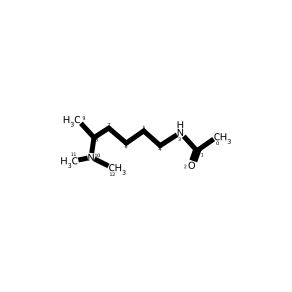 CC(=O)NCCCCC(C)N(C)C